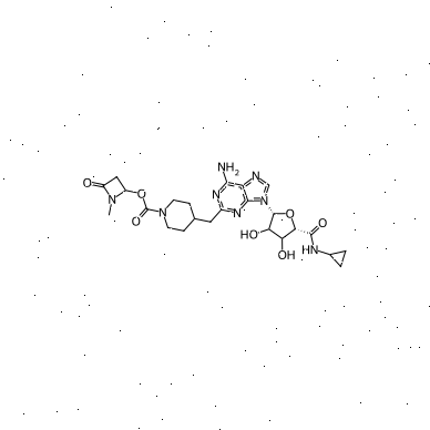 CN1C(=O)CC1OC(=O)N1CCC(Cc2nc(N)c3ncn([C@@H]4O[C@H](C(=O)NC5CC5)C(O)C4O)c3n2)CC1